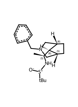 C[C@H](N[S+]([O-])C(C)(C)C)[C@@H]1[C@@H]2CC[C@H]1CN(Cc1ccccc1)C2